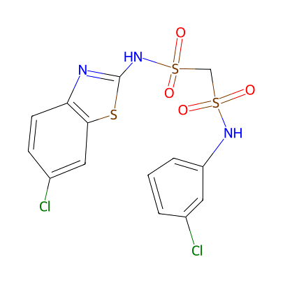 O=S(=O)(CS(=O)(=O)Nc1nc2ccc(Cl)cc2s1)Nc1cccc(Cl)c1